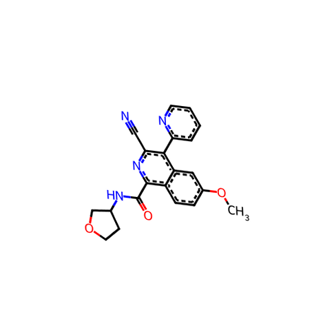 COc1ccc2c(C(=O)NC3CCOC3)nc(C#N)c(-c3ccccn3)c2c1